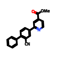 COC(=O)c1ccnc(-c2ccc(-c3ccccc3)c(C#N)c2)c1